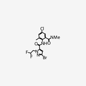 CNC(=O)c1cc(Cl)cc(C)c1NC(=O)c1cc(Br)nn1CC(F)F